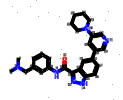 CN(C)Cc1cccc(NC(=O)c2n[nH]c3ccc(-c4cncc(N5CCCCC5)c4)cc23)c1